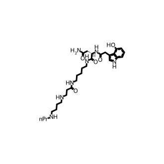 CCCNCCCCNCCC(=O)NCCCCCNC(=O)[C@H](CC(N)=O)NC(=O)Cc1c[nH]c2cccc(O)c12